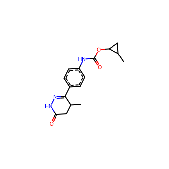 CC1CC(=O)NN=C1c1ccc(NC(=O)OC2CC2C)cc1